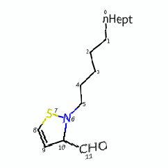 CCCCCCCCCCCCN1SC=CC1C=O